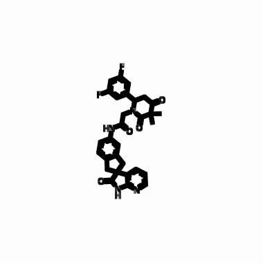 CC1(C)C(=O)CC(c2cc(F)cc(F)c2)N(CC(=O)Nc2ccc3c(c2)CC2(C3)C(=O)Nc3ncccc32)C1=O